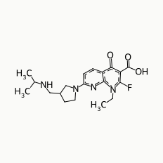 CCn1c(F)c(C(=O)O)c(=O)c2ccc(N3CCC(CNC(C)C)C3)nc21